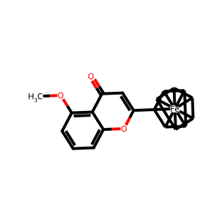 COc1cccc2oc([C]34[CH]5[CH]6[CH]7[CH]3[Fe]6754389%10[CH]4[CH]3[CH]8[CH]9[CH]4%10)cc(=O)c12